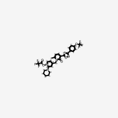 Cc1ccc(-c2nc(-c3ccc(OC(F)(F)F)cc3)no2)c(=O)n1Cc1cc[n+](OC(=O)C(F)(F)F)c(N2CCCCC2)c1